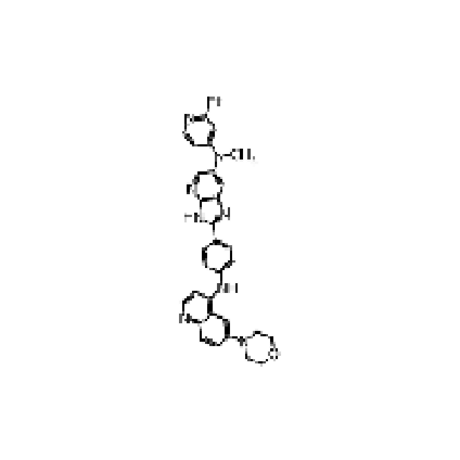 CCc1cc(N(C)c2cnc3[nH]c(-c4ccc(Nc5ccnc6ccc(N7CCOCC7)cc56)cc4)nc3c2)ccn1